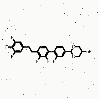 CCCC1COC(c2ccc(-c3ccc(CCc4cc(F)c(F)c(F)c4)c(F)c3F)c(F)c2)OC1